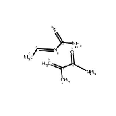 C=C(C)C(N)=O.CC=NC(N)=S